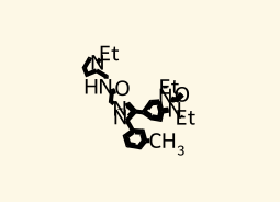 CCN1CCCC1CNC(=O)Cn1cc(-c2ccc3c(c2)n(CC)c(=O)n3CC)c(-c2cccc(C)c2)n1